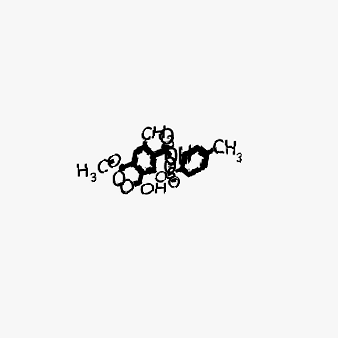 COC(=O)c1cc(C)c(C(=O)O)c(OS(=O)(=O)c2ccc(C)cc2)c1C(=O)O